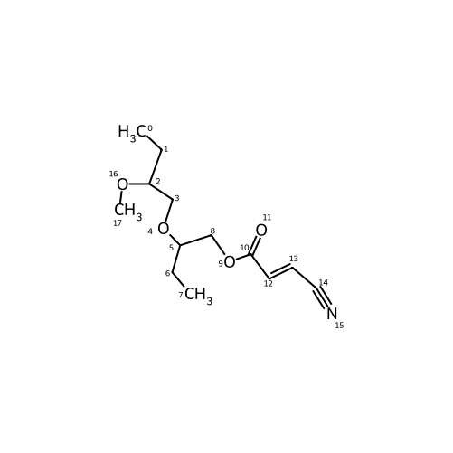 CCC(COC(CC)COC(=O)C=CC#N)OC